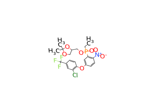 CCP(=O)(OCC1COC(C)(C)O1)c1cc(Oc2ccc(C(F)(F)F)cc2Cl)ccc1[N+](=O)[O-]